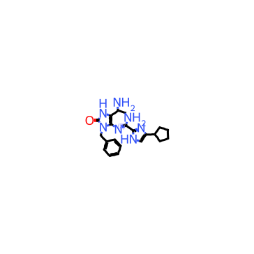 CC(N)c1[nH]c(=O)n(Cc2ccccc2)c1/N=C(\N)c1nc(C2CCCC2)c[nH]1